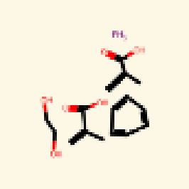 C=C(C)C(=O)O.C=C(C)C(=O)O.OCCO.P.c1ccccc1